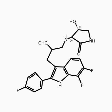 O=CC(CN[C@@H]1C(=O)NC[C@H]1O)Cc1c(-c2ccc(F)cc2)[nH]c2c(F)c(F)ccc12